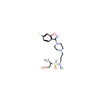 CCN(CCCN1CCN(c2noc3cc(F)ccc23)CC1)S(=O)(=O)C(C)CO